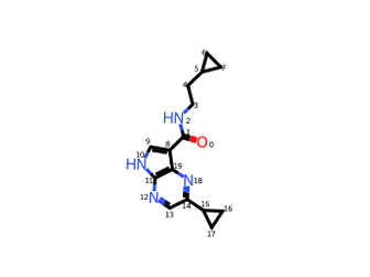 O=C(NCCC1CC1)c1c[nH]c2ncc(C3CC3)nc12